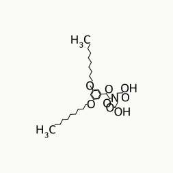 CCCCCCCCCCOc1cc(OCCCCCCCCCC)cc(C(=O)C(=O)N(CC(=O)O)CC(=O)O)c1